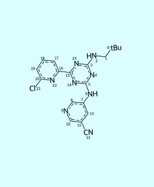 CC(C)(C)CNc1nc(Nc2cncc(C#N)c2)nc(-c2cccc(Cl)n2)n1